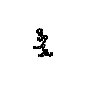 COc1cc(C=Cc2cccc(-c3ccc4c(c3)OCCO4)c2C)ccc1CNC(CO)C(=O)O